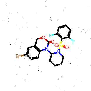 O=C1OCc2cc(Br)ccc2N1C1CCCCN1S(=O)(=O)c1c(F)cccc1F